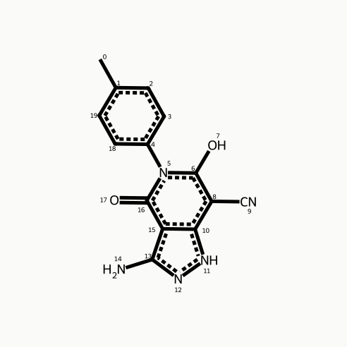 Cc1ccc(-n2c(O)c(C#N)c3[nH]nc(N)c3c2=O)cc1